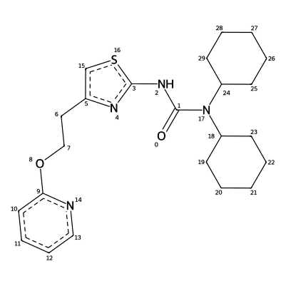 O=C(Nc1nc(CCOc2ccccn2)cs1)N(C1CCCCC1)C1CCCCC1